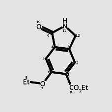 CCOC(=O)c1cc2c(cc1OCC)C(=O)NC2